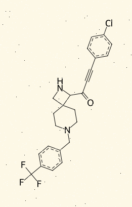 O=C(C#Cc1ccc(Cl)cc1)C1NCC12CCN(Cc1ccc(C(F)(F)F)cc1)CC2